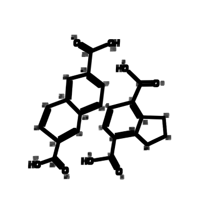 O=C(O)c1ccc(C(=O)O)c2c1CCC2.O=C(O)c1ccc2cc(C(=O)O)ccc2c1